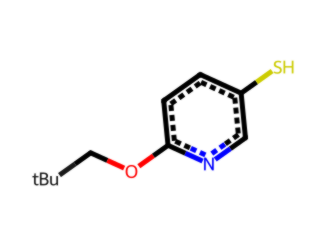 CC(C)(C)COc1ccc(S)cn1